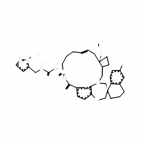 CO[C@H]1/C=C/CCC[S@@](=O)(NC(=O)NCc2ccnn2C)=NC(=O)c2ccc3c(c2)N(C[C@@H]2CC[C@H]21)C[C@@]1(CCCc2cc(Cl)ccc21)CO3